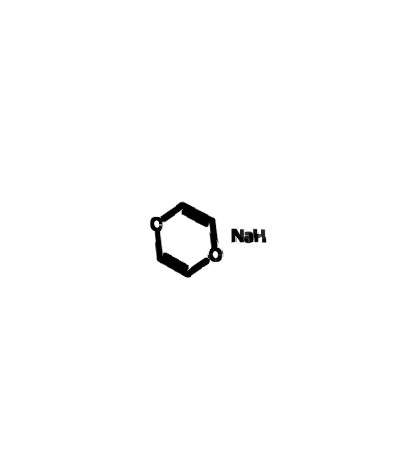 C1=COC=CO1.[NaH]